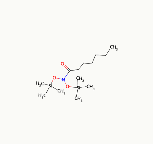 CCCCCCC(=O)N(O[Si](C)(C)C)O[Si](C)(C)C